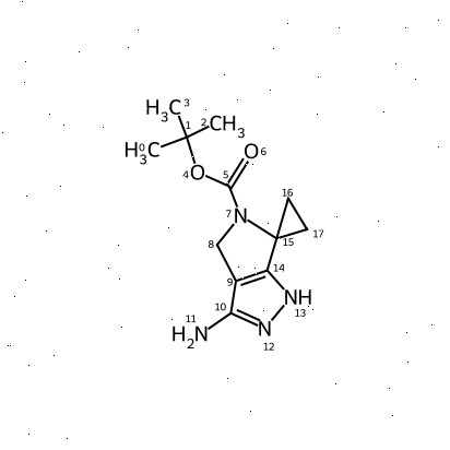 CC(C)(C)OC(=O)N1Cc2c(N)n[nH]c2C12CC2